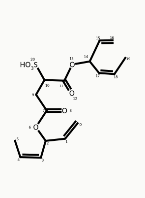 C=CC(/C=C\C)OC(=O)CC(C(=O)OC(C=C)/C=C\C)S(=O)(=O)O